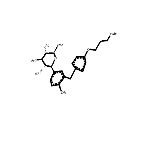 COCCCOc1ccc(Cc2cc([C@@H]3O[C@H](SC)[C@@H](OC(C)=O)[C@H](OC(C)=O)[C@H]3OC(C)=O)ccc2C)cc1